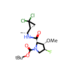 CO[C@H]1[C@@H](C(=O)N[C@H](C)[C@H]2CC2(Cl)Cl)N(C(=O)OC(C)(C)C)C[C@@H]1F